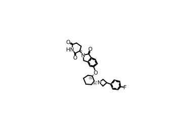 O=C1CC[C@@H](N2Cc3cc(O[C@H]4CCCC[C@H]4N4CC(c5ccc(F)cc5)C4)ccc3C2=O)C(=O)N1